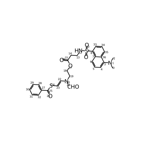 CN(C)c1cccc2c(S(=O)(=O)NCCC(=O)OCCN(C=O)C=CSC(=O)c3ccccc3)cccc12